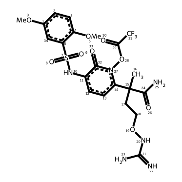 COc1ccc(OC)c(S(=O)(=O)Nc2ccc(C(C)(CCONC(=N)N)C(N)=O)n(OC(=O)C(F)(F)F)c2=O)c1